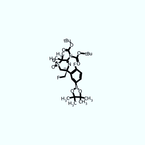 CC(C)(C)OC(=O)N(C(=O)OC(C)(C)C)C1=N[C@](CF)(c2cc(B3OC(C)(C)C(C)(C)O3)ccc2F)CS(=O)(=O)C1(C)C